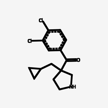 O=C(c1ccc(Cl)c(Cl)c1)C1(CC2CC2)CCNC1